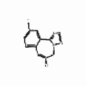 Fc1ccc2c(c1)-c1ncnn1CC(Cl)=N2